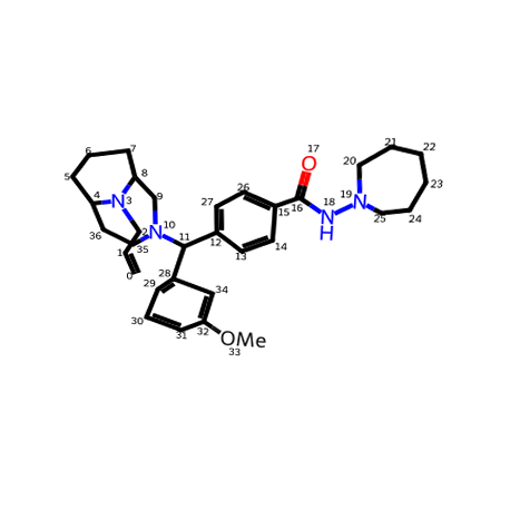 C=CCN1C2CCCC1CN(C(c1ccc(C(=O)NN3CCCCCC3)cc1)c1cccc(OC)c1)CC2